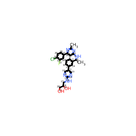 Cc1nc(N[C@@H](C)c2cccc(-c3cnc(NCC(O)CO)nc3)c2)cc(-c2ccc(Cl)c(F)c2)n1